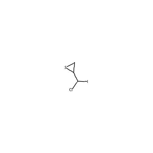 ClC(I)C1CS1